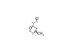 CN1CCOC(CCCl)C1